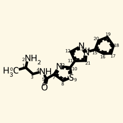 CC(N)CNC(=O)c1csc(-c2cnn(-c3ccccc3)c2)n1